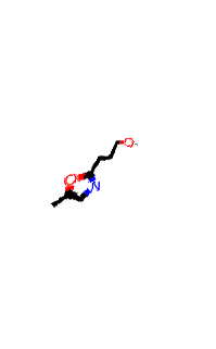 Cc1cnc(CCC[O])o1